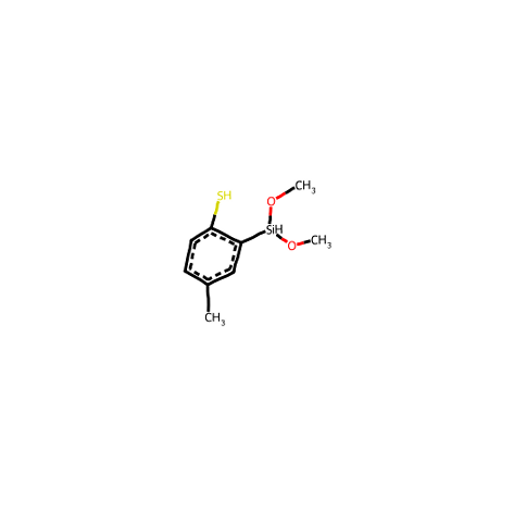 CO[SiH](OC)c1cc(C)ccc1S